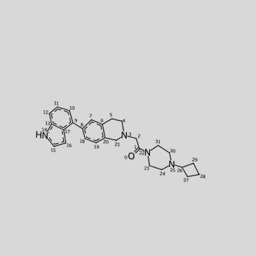 O=C(CN1CCc2cc(-c3cccc4[nH]ccc34)ccc2C1)N1CCN(C2CCC2)CC1